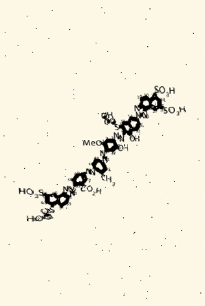 COc1cc(N=Nc2c(SOOO)cc3cc(-n4nc5ccc6c(S(=O)(=O)O)cc(S(=O)(=O)O)cc6c5n4)ccc3c2O)c(O)cc1N=Nc1ccc(N=Nc2ccc(-n3nc4ccc5c(SOOO)cc(S(=O)(=O)O)cc5c4n3)c(C(=O)O)c2)c(C)c1